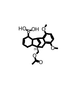 COc1ccc(OC)c2c1C[C@@]1(COC(C)=O)C=C2C2C(B(O)O)C=CCC21